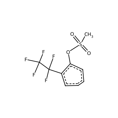 CS(=O)(=O)Oc1ccccc1C(F)(F)C(F)(F)F